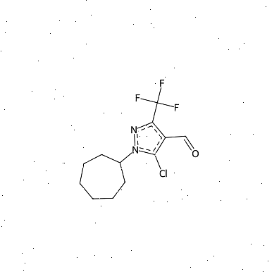 O=Cc1c(C(F)(F)F)nn(C2CCCCCC2)c1Cl